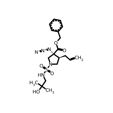 C=CC[C@H]1CN(S(=O)(=O)NCC(C)(C)O)C[C@@]1(N=[N+]=[N-])C(=O)OCc1ccccc1